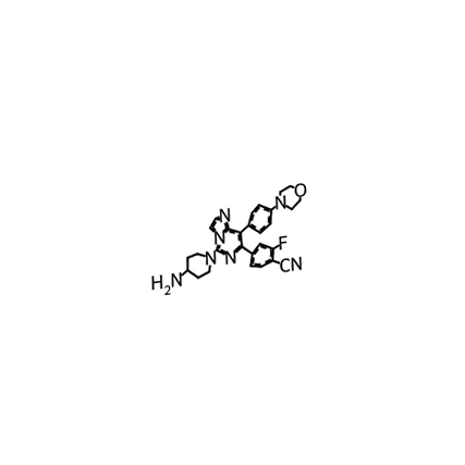 N#Cc1ccc(-c2nc(N3CCC(N)CC3)n3ccnc3c2-c2ccc(N3CCOCC3)cc2)cc1F